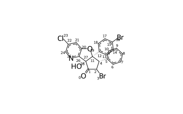 O=C1C(Br)[C@@H](c2ccccc2)[C@]2(c3ccc(Br)cc3)Oc3cc(Cl)cnc3[C@]12O